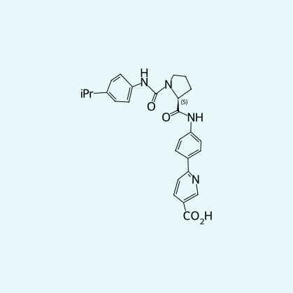 CC(C)c1ccc(NC(=O)N2CCC[C@H]2C(=O)Nc2ccc(-c3ccc(C(=O)O)cn3)cc2)cc1